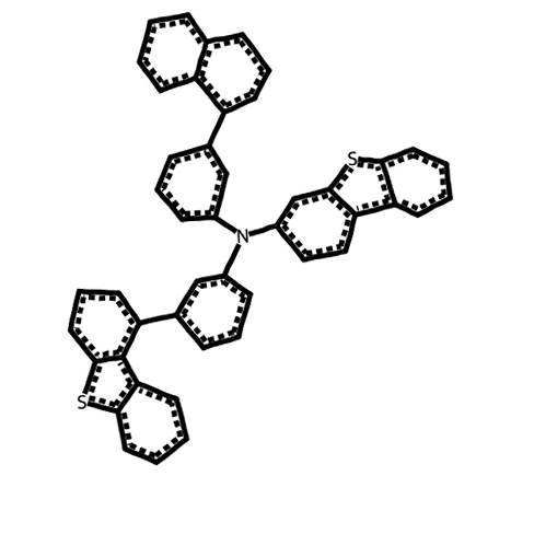 c1cc(-c2cccc3ccccc23)cc(N(c2cccc(-c3cccc4sc5ccccc5c34)c2)c2ccc3c(c2)sc2ccccc23)c1